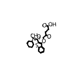 CN(C(=O)c1sc2ccccc2c1OCC(=O)CCC(=O)O)C1CCCCC1